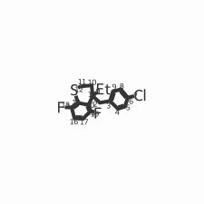 CCC1(Cc2ccc(Cl)cc2)CCSc2c(F)ccc(F)c21